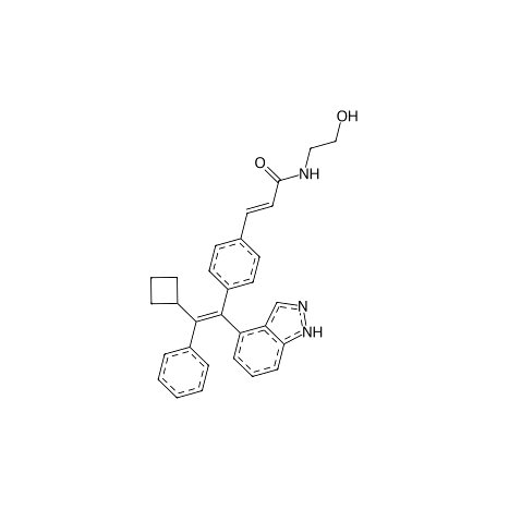 O=C(C=Cc1ccc(C(=C(c2ccccc2)C2CCC2)c2cccc3[nH]ncc23)cc1)NCCO